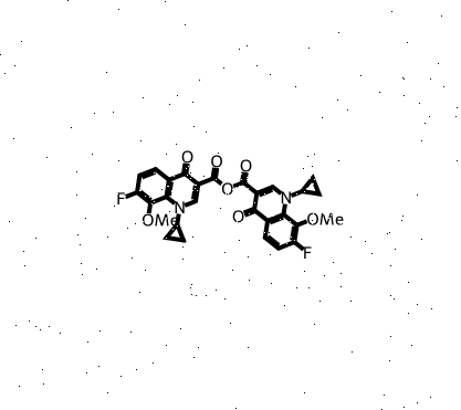 COc1c(F)ccc2c(=O)c(C(=O)OC(=O)c3cn(C4CC4)c4c(OC)c(F)ccc4c3=O)cn(C3CC3)c12